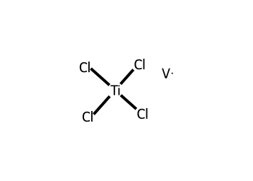 [Cl][Ti]([Cl])([Cl])[Cl].[V]